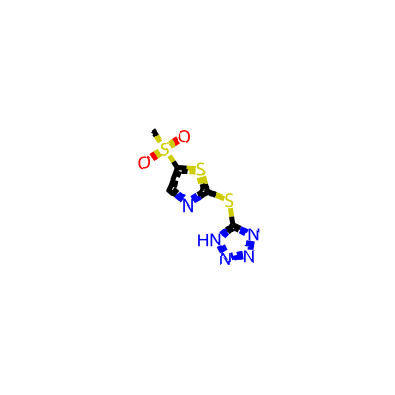 CS(=O)(=O)c1cnc(Sc2nnn[nH]2)s1